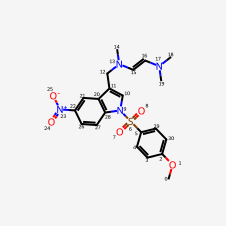 COc1ccc(S(=O)(=O)n2cc(CN(C)/C=C/N(C)C)c3cc([N+](=O)[O-])ccc32)cc1